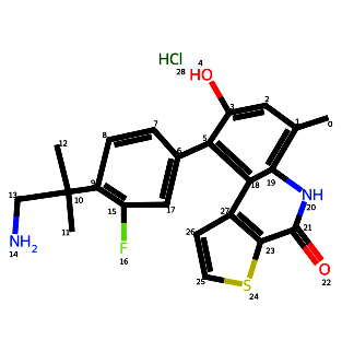 Cc1cc(O)c(-c2ccc(C(C)(C)CN)c(F)c2)c2c1[nH]c(=O)c1sccc12.Cl